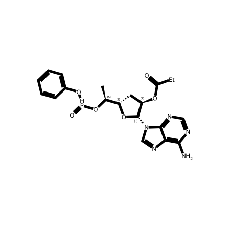 CCC(=O)O[C@@H]1C[C@@H]([C@H](C)O[PH](=O)Oc2ccccc2)O[C@H]1n1cnc2c(N)ncnc21